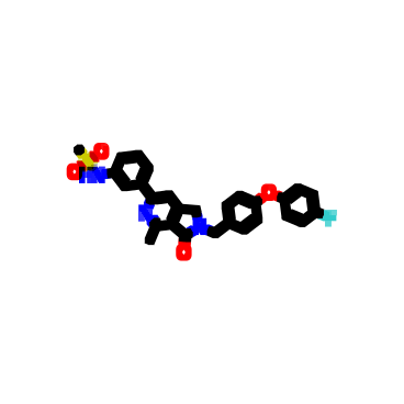 Cc1nc(-c2cccc(NS(C)(=O)=O)c2)cc2c1C(=O)N(Cc1ccc(Oc3ccc(F)cc3)cc1)C2